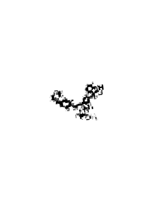 O=C(O)C(F)(F)F.O=C1Nc2ccccc2[C@]12C[C@H]2c1ccc2c(/C=C/c3ccc(CN4CCOCC4)cc3)n[nH]c2c1